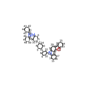 C1=CC(c2ccc(-c3cccc(-n4c5ccccc5c5c6oc7ccccc7c6ccc54)c3)cc2)CC(C2=C(Nc3ccccc3)C=CCC2)=C1